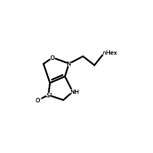 CCCCCCCCN1OCC2=C1NC[S+]2[O-]